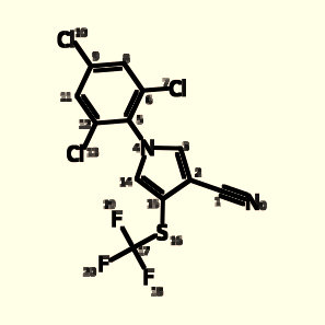 N#Cc1cn(-c2c(Cl)cc(Cl)cc2Cl)cc1SC(F)(F)F